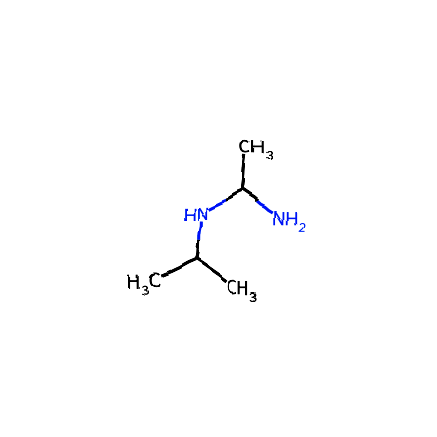 CC(C)NC(C)N